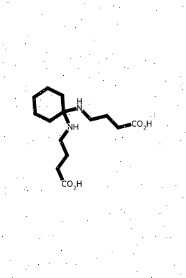 O=C(O)CCCNC1(NCCCC(=O)O)CCCCC1